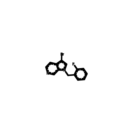 Fc1ccccc1Cn1cc(Br)c2ccncc21